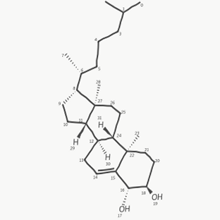 CC(C)CCC[C@@H](C)[C@H]1CC[C@H]2[C@@H]3CC=C4[C@@H](O)[C@H](O)CC[C@]4(C)[C@H]3CC[C@]12C